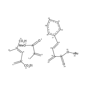 C=C(C)C(=O)OC.C=C(C=C(C)C(=O)O)C(=O)OCC.C=C(C=Cc1ccccc1)C(=O)OCCCC